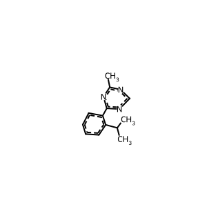 Cc1ncnc(-c2ccccc2C(C)C)n1